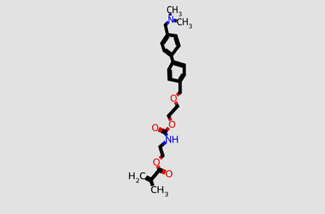 C=C(C)C(=O)OCCNC(=O)OCCOCc1ccc(-c2ccc(CN(C)C)cc2)cc1